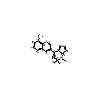 CN1n2cccc2C(c2cnc3c(F)cccc3c2)=NC1(C)C